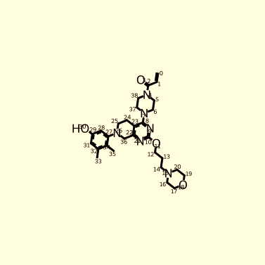 C=CC(=O)N1CCN(c2nc(OCCCN3CCOCC3)nc3c2CCN(c2cc(O)cc(C)c2C)C3)CC1